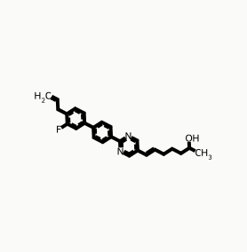 C=CCc1ccc(-c2ccc(-c3ncc(/C=C/CCCC(C)O)cn3)cc2)cc1F